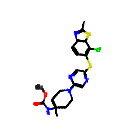 Cc1nc2ccc(Sc3cnc(N4CCC(C)(NC(=O)OC(C)(C)C)CC4)cn3)c(Cl)c2s1